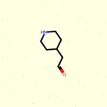 O=[C]CC1CCNCC1